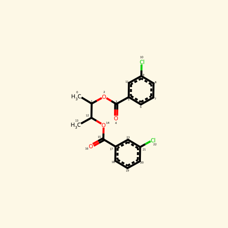 CC(OC(=O)c1cccc(Cl)c1)C(C)OC(=O)c1cccc(Cl)c1